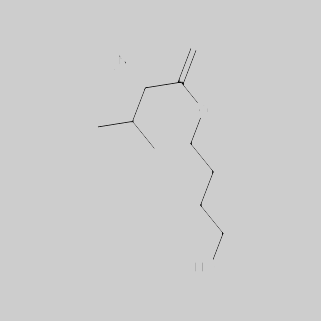 C=C(OCCCCO)[C@@H](N)C(C)C